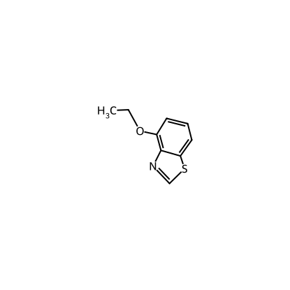 CCOc1cccc2scnc12